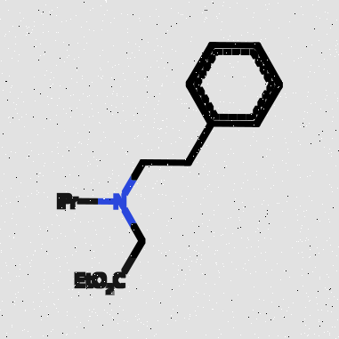 CCOC(=O)CN(CCc1ccccc1)C(C)C